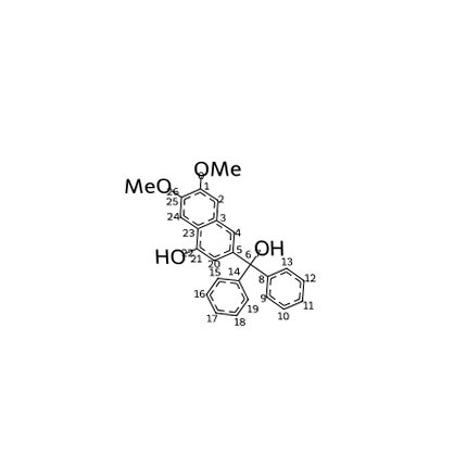 COc1cc2cc(C(O)(c3ccccc3)c3ccccc3)cc(O)c2cc1OC